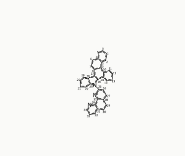 c1ccc2c(c1)ccc1c2c2ccccc2c2c1c1ccccc1n2-c1ccc2ccc3cccnc3c2n1